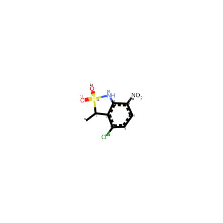 CC1c2c(Cl)ccc([N+](=O)[O-])c2NS1(=O)=O